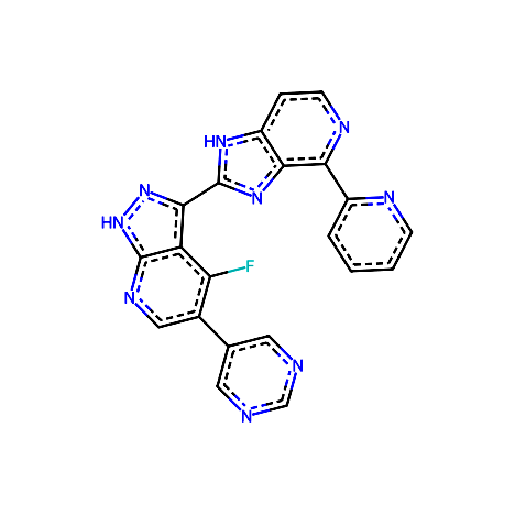 Fc1c(-c2cncnc2)cnc2[nH]nc(-c3nc4c(-c5ccccn5)nccc4[nH]3)c12